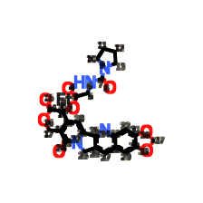 CC[C@@]1(OC(=O)CNC(=O)N2CCCC2)C(=O)OCc2c1cc1n(c2=O)Cc2cc3cc4c(cc3nc2-1)OCO4